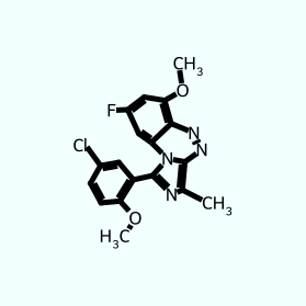 COc1ccc(Cl)cc1-c1nc(C)c2nnc3c(OC)cc(F)cc3n12